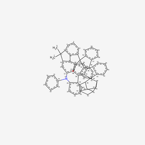 CC1(C)c2cccc3c2-c2c1cc(N(c1ccccc1)c1ccccc1-c1cccc4c1C1(c5ccccc5-4)C4CC5CC(C4)CC1C5)cc2C31c2ccccc2-c2ccccc21